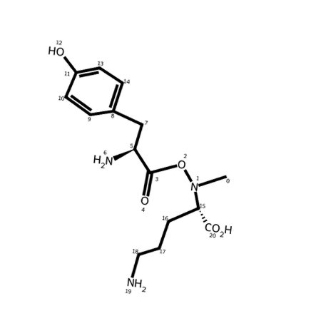 CN(OC(=O)[C@@H](N)Cc1ccc(O)cc1)[C@@H](CCCN)C(=O)O